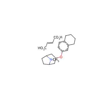 CN1C2CCC1CC(Oc1ccc3c(c1)CCCC3)C2.O=C(O)/C=C/C(=O)O